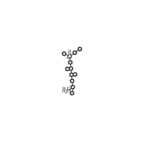 CC1(C)c2ccccc2-c2ccc(-c3ccc(-c4ccc(-c5ccc(-c6ccc(C7=CC(c8ccc(-c9ccccc9)cc8)NC(c8ccccc8)=N7)cc6)c6ccccc56)c5ccccc45)cc3)cc21